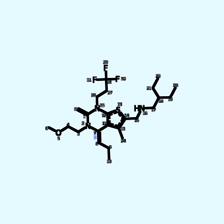 C=C1N(CCOC)/C(=C/CC)c2c(sc(CNCC(CC)CC)c2C)N1CCC(F)(F)F